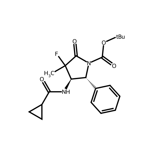 CC(C)(C)OC(=O)N1C(=O)C(C)(F)[C@H](NC(=O)C2CC2)[C@H]1c1ccccc1